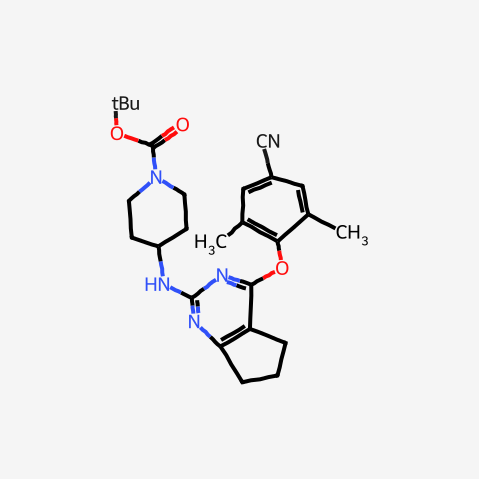 Cc1cc(C#N)cc(C)c1Oc1nc(NC2CCN(C(=O)OC(C)(C)C)CC2)nc2c1CCC2